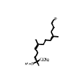 COC(C)(CCC=C(C)CCC=C(C)CCCC(C)C)OC